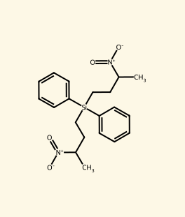 CC(CC[Si](CCC(C)[N+](=O)[O-])(c1ccccc1)c1ccccc1)[N+](=O)[O-]